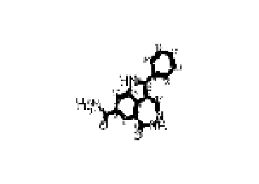 NC(=O)c1cc2c3c(c(-c4ccccc4)[nH]c3c1)C=NNC2=O